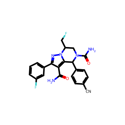 N#Cc1ccc(C2c3c(C(N)=O)c(-c4cccc(F)c4)nn3C(CF)CN2C(N)=O)cc1